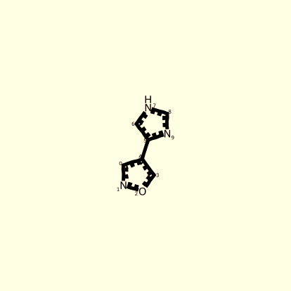 [c]1nocc1-c1c[nH]cn1